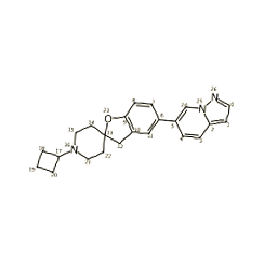 c1cc2ccc(-c3ccc4c(c3)CC3(CCN(C5CCC5)CC3)O4)cn2n1